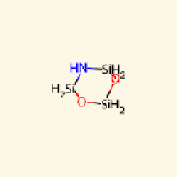 N1[SiH2]O[SiH2]O[SiH2]1